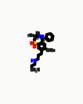 CCCC[C@]1(CC)CS(=O)(=O)c2cc(CCCNCCS(=O)(=O)O)c(OC)cc2[C@@H](C2=CC=CCC2)N1